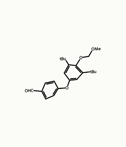 COCOc1c(C(C)(C)C)cc(Oc2ccc(C=O)cc2)cc1C(C)(C)C